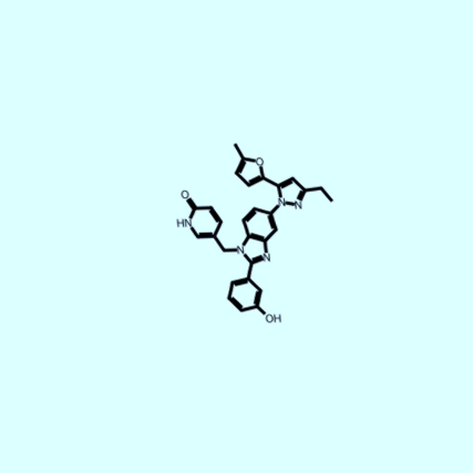 CCc1cc(-c2ccc(C)o2)n(-c2ccc3c(c2)nc(-c2cccc(O)c2)n3Cc2ccc(=O)[nH]c2)n1